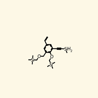 C=Cc1cc(C#C[SiH2]C)c(OC[Si](C)(C)C)c(COC[Si](C)(C)C)c1